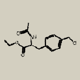 CCOC(=O)[C@H](Cc1ccc(CCl)cc1)NC(C)=O